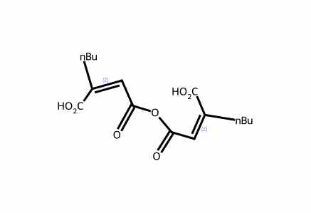 CCCC/C(=C/C(=O)OC(=O)/C=C(/CCCC)C(=O)O)C(=O)O